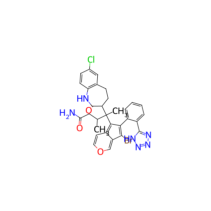 CC(CC(N)=O)C(C)(c1c2ccocc-2c(Br)c1-c1ccccc1-c1nnn[nH]1)C1CCc2cc(Cl)ccc2NC1=O